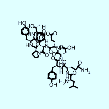 CC(C)C[C@H](N)C(=O)N[C@@H](CCC(N)=O)C(=O)N[C@@H](Cc1ccc(O)cc1)C(=O)N[C@@H](CC(=O)O)C(=O)N[C@@H](CCC(=O)O)C(=O)N[C@@H](Cc1ccccc1)C(=O)N1CCC[C@H]1C(=O)N[C@@H](Cc1ccc(O)cc1)C(=O)N[C@H](C(=O)O)[C@@H](C)O